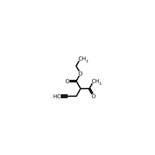 C#CCC(C(C)=O)C(=O)OCC